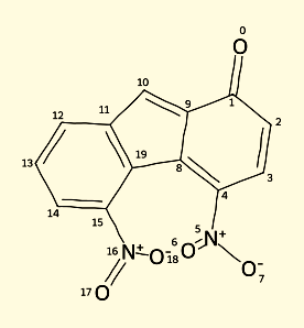 O=C1C=CC([N+](=O)[O-])=C2C1=Cc1cccc([N+](=O)[O-])c12